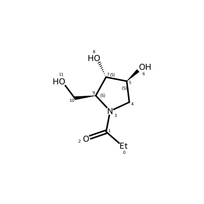 CCC(=O)N1C[C@H](O)[C@@H](O)[C@@H]1CO